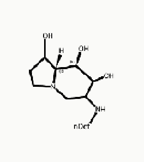 CCCCCCCCNC1CN2CCC(O)[C@@H]2[C@@H](O)C1O